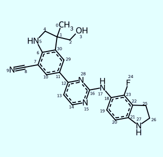 CC1(CO)CNc2c(C#N)cc(-c3ccnc(Nc4ccc5c(c4F)CCN5)n3)cc21